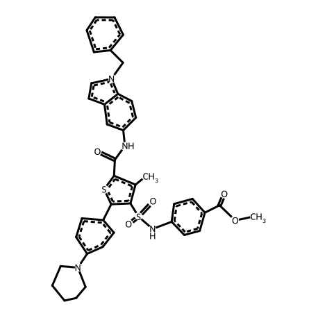 COC(=O)c1ccc(NS(=O)(=O)c2c(-c3ccc(N4CCCCC4)cc3)sc(C(=O)Nc3ccc4c(ccn4Cc4ccccc4)c3)c2C)cc1